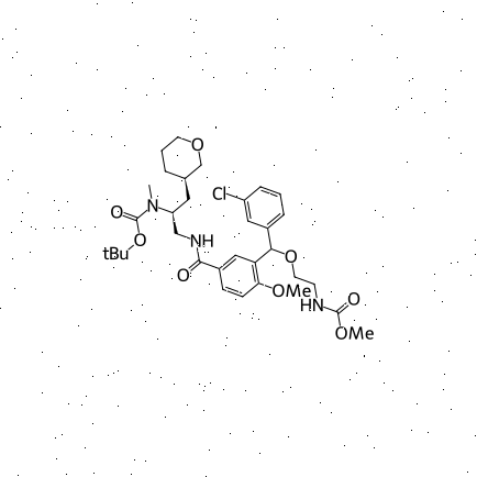 COC(=O)NCCOC(c1cccc(Cl)c1)c1cc(C(=O)NC[C@H](C[C@H]2CCCOC2)N(C)C(=O)OC(C)(C)C)ccc1OC